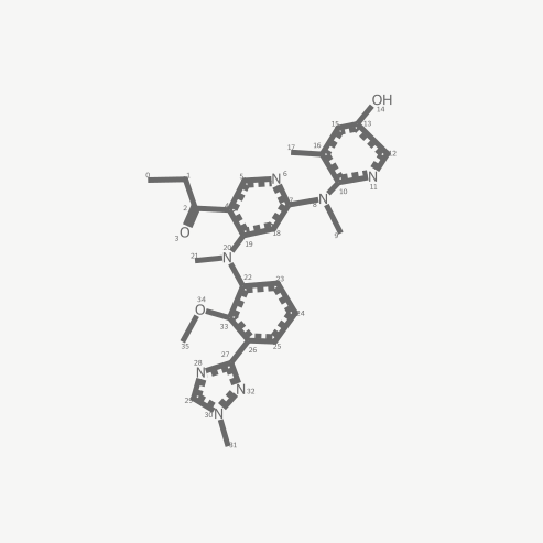 CCC(=O)c1cnc(N(C)c2ncc(O)cc2C)cc1N(C)c1cccc(-c2ncn(C)n2)c1OC